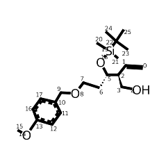 C=C[C@@H](CO)[C@H](CCOCc1ccc(OC)cc1)O[Si](C)(C)C(C)(C)C